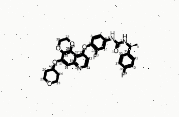 C[C@H](NC(=O)Nc1ccc(Oc2ccnc3cc(OC4CCOCC4)c4c(c23)OCCO4)c(F)c1)c1ccc(F)cc1